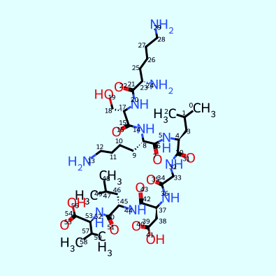 CC(C)C[C@H](NC(=O)[C@H](CCCCN)NC(=O)[C@H](CO)NC(=O)[C@@H](N)CCCCN)C(=O)NCC(=O)N[C@@H](CC(=O)O)C(=O)N[C@@H](CC(C)C)C(=O)N[C@H](C(=O)O)C(C)C